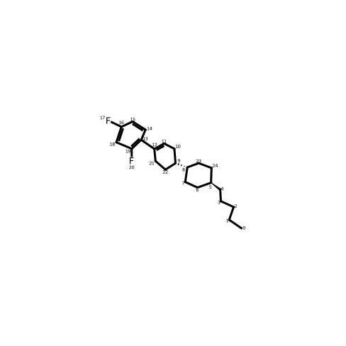 CCCCC[C@H]1CC[C@H](C2CC=C(c3ccc(F)cc3F)CC2)CC1